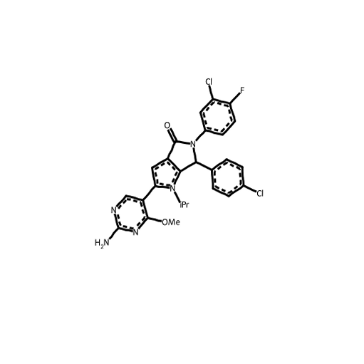 COc1nc(N)ncc1-c1cc2c(n1C(C)C)C(c1ccc(Cl)cc1)N(c1ccc(F)c(Cl)c1)C2=O